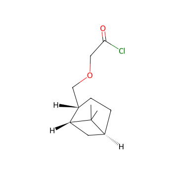 CC1(C)[C@H]2CC[C@@H](COCC(=O)Cl)[C@H]1C2